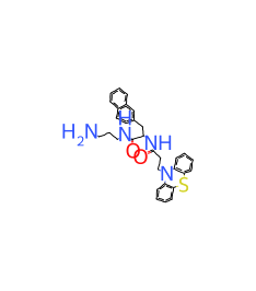 NCCCNC(=O)C(Cc1ccc2ccccc2c1)NC(=O)CCN1c2ccccc2Sc2ccccc21